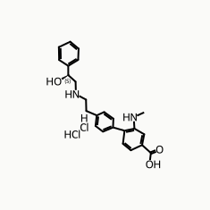 CNc1cc(C(=O)O)ccc1-c1ccc(CCNC[C@@H](O)c2ccccc2)cc1.Cl.Cl